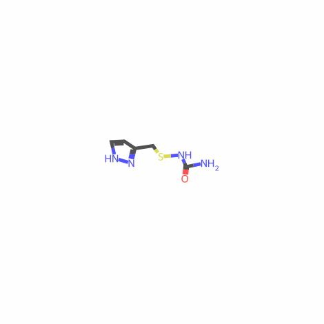 NC(=O)NSCc1cc[nH]n1